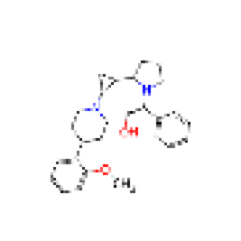 COc1ccccc1C1CCN(C2CC2C2CCCN2[C@H](CO)c2ccccc2)CC1